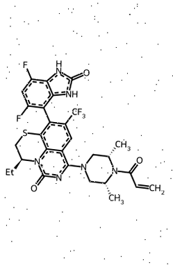 C=CC(=O)N1[C@H](C)CN(c2nc(=O)n3c4c(c(-c5c(F)cc(F)c6[nH]c(=O)[nH]c56)c(C(F)(F)F)cc24)SC[C@@H]3CC)C[C@@H]1C